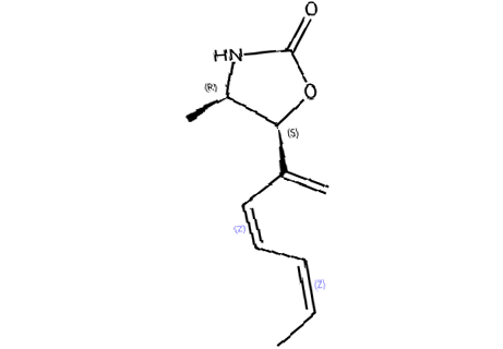 C=C(/C=C\C=C/C)[C@@H]1OC(=O)N[C@@H]1C